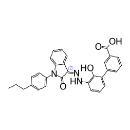 CCCc1ccc(N2C(=O)/C(=N\Nc3cccc(-c4cccc(C(=O)O)c4)c3O)c3ccccc32)cc1